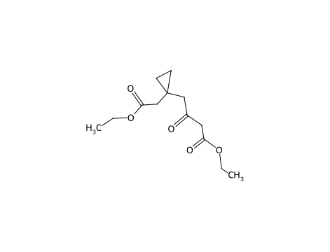 CCOC(=O)CC(=O)CC1(CC(=O)OCC)CC1